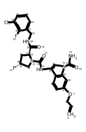 C=CCOc1ccc2c(NC(=O)N3C[C@H](F)C[C@H]3C(=O)NCc3cccc(Cl)c3F)cn(C(N)=O)c2c1